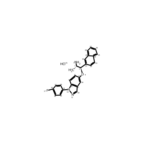 C[C@H](N)[C@H](Oc1ccc2c(cnn2-c2ccc(F)cc2)c1)c1ccc2ccccc2c1.Cl